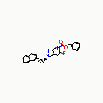 O=C(OCc1ccccc1)N1CCC(CN[C@@H]2C[C@H]2c2ccc3ccccc3c2)CC1F